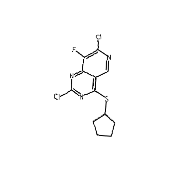 Fc1c(Cl)ncc2c(SC3CCCC3)nc(Cl)nc12